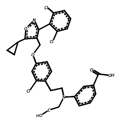 O=C(O)c1cccc(N(CCO)CCc2ccc(OCc3c(-c4c(Cl)cccc4Cl)noc3C3CC3)cc2Cl)c1